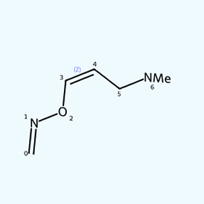 C=NO/C=C\CNC